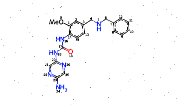 COc1cc(CNCc2ccccc2)ccc1NC(=O)Nc1cnc(N)cn1